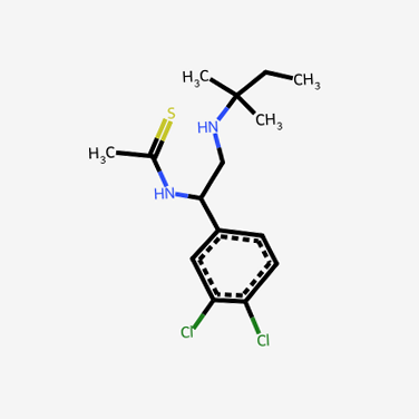 CCC(C)(C)NCC(NC(C)=S)c1ccc(Cl)c(Cl)c1